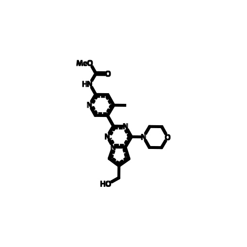 COC(=O)Nc1cc(C)c(-c2nc(N3CCOCC3)c3cc(CO)cn3n2)cn1